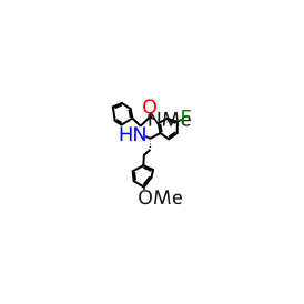 CNC(=O)C(N[C@@H](CCc1ccc(OC)cc1)c1ccc(F)cc1)c1ccccc1